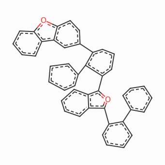 c1ccc(-c2ccccc2-c2oc(-c3cccc(-c4ccc5oc6ccccc6c5c4)c3-c3ccccc3)c3ccccc23)cc1